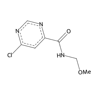 COCNC(=O)c1cc(Cl)ncn1